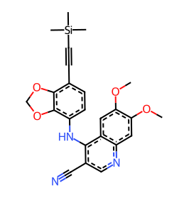 COc1cc2ncc(C#N)c(Nc3ccc(C#C[Si](C)(C)C)c4c3OCO4)c2cc1OC